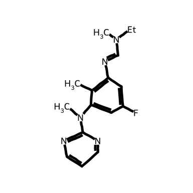 CCN(C)C=Nc1cc(F)cc(N(C)c2ncccn2)c1C